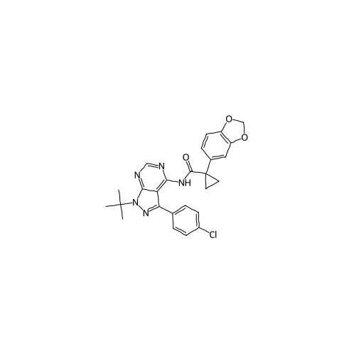 CC(C)(C)n1nc(-c2ccc(Cl)cc2)c2c(NC(=O)C3(c4ccc5c(c4)OCO5)CC3)ncnc21